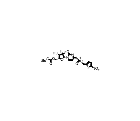 CC(C)(C)OC(=O)OC[C@H]1O[C@@H](n2ccc(NC(=O)OCc3ccc([N+](=O)[O-])s3)nc2=O)C(F)(F)[C@@H]1O